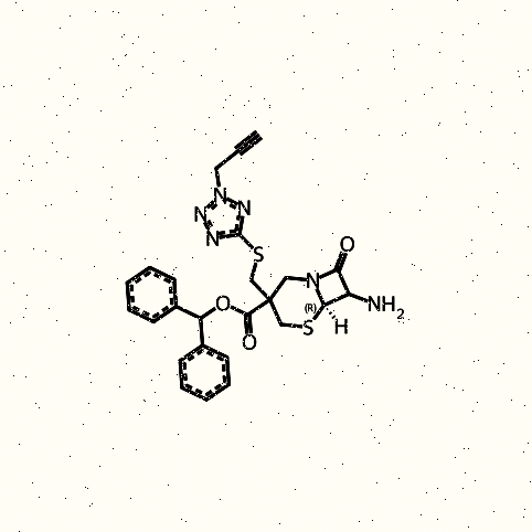 C#CCn1nnc(SCC2(C(=O)OC(c3ccccc3)c3ccccc3)CS[C@@H]3C(N)C(=O)N3C2)n1